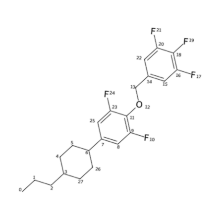 CCCC1CCC(c2cc(F)c(OCc3cc(F)c(F)c(F)c3)c(F)c2)CC1